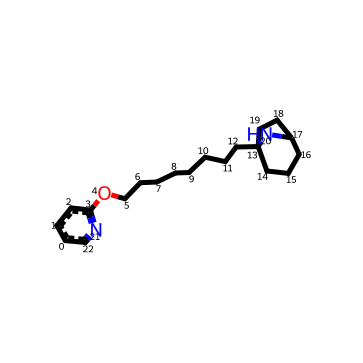 c1ccc(OCCCCCCCCC23CCCC(CC2)N3)nc1